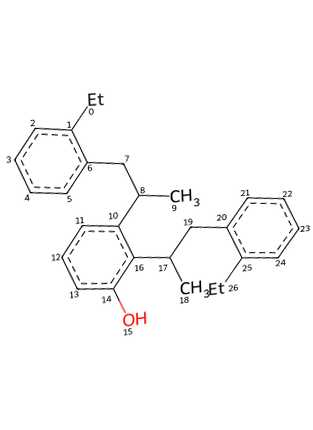 CCc1ccccc1CC(C)c1cccc(O)c1C(C)Cc1ccccc1CC